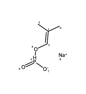 CC(C)=CO[PH](=O)[O-].[Na+]